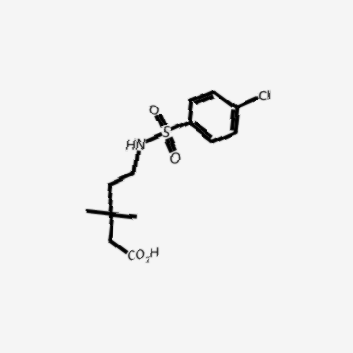 CC(C)(CCNS(=O)(=O)c1ccc(Cl)cc1)CC(=O)O